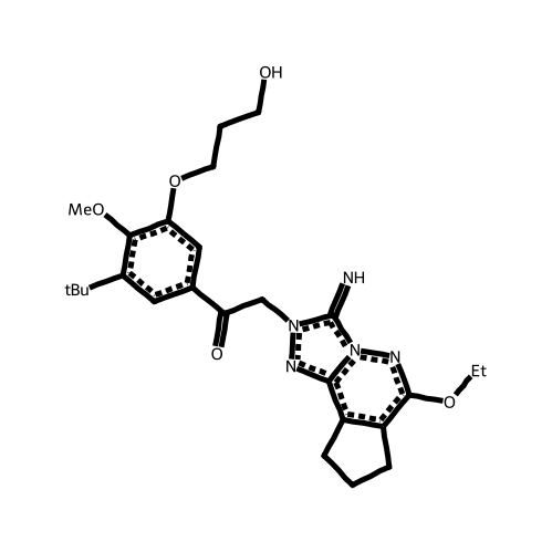 CCOc1nn2c(=N)n(CC(=O)c3cc(OCCCO)c(OC)c(C(C)(C)C)c3)nc2c2c1CCC2